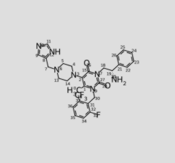 Cc1c(N2CCN(Cc3cnc[nH]3)CC2)c(=O)n(C[C@@H](N)c2ccccc2)c(=O)n1Cc1c(F)cccc1C(F)(F)F